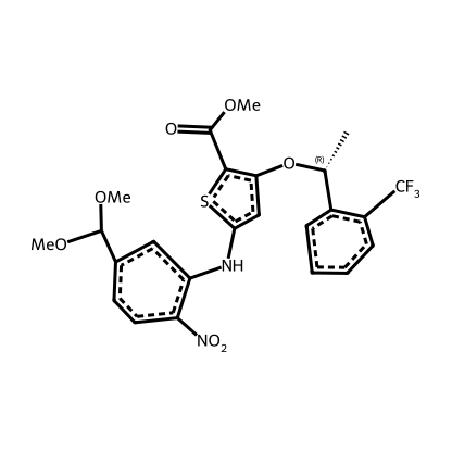 COC(=O)c1sc(Nc2cc(C(OC)OC)ccc2[N+](=O)[O-])cc1O[C@H](C)c1ccccc1C(F)(F)F